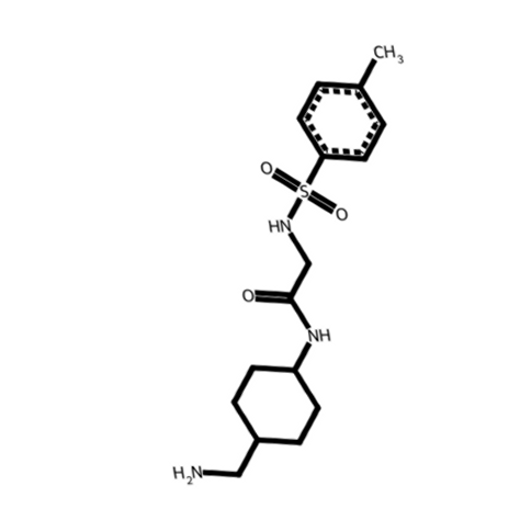 Cc1ccc(S(=O)(=O)NCC(=O)NC2CCC(CN)CC2)cc1